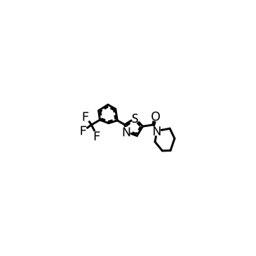 O=C(c1cnc(-c2cccc(C(F)(F)F)c2)s1)N1CCCCC1